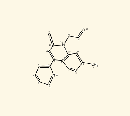 Cc1ccc2c(-c3ccccn3)cc(=O)n(CC=O)c2c1